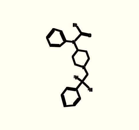 [2H]C([2H])(CN1CCC(N(C(=O)CC)c2ccccc2)CC1)c1ccccc1